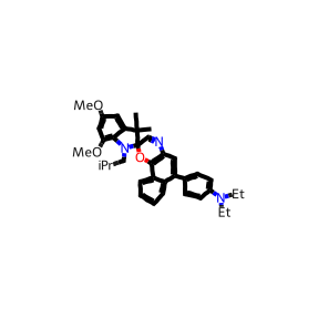 CCN(CC)c1ccc(-c2cc3c(c4ccccc24)OC2(C=N3)N(CC(C)C)c3c(OC)cc(OC)cc3C2(C)C)cc1